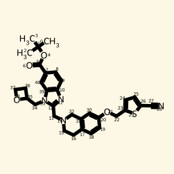 CC(C)(C)OC(=O)c1ccc2nc(CN3CCc4ccc(OCc5ccc(C#N)s5)cc4C3)n(CC3CCO3)c2c1